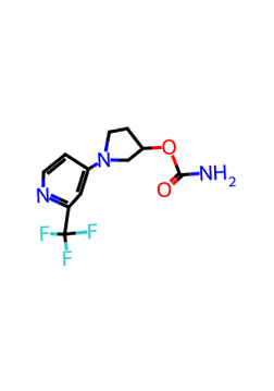 NC(=O)OC1CCN(c2ccnc(C(F)(F)F)c2)C1